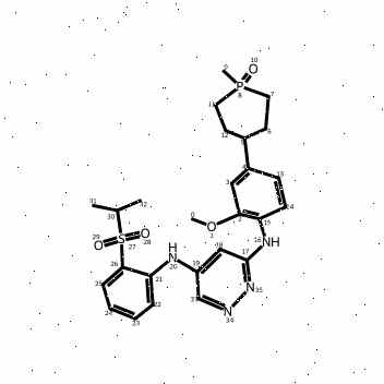 COc1cc(C2CCP(C)(=O)CC2)ccc1Nc1cc(Nc2ccccc2S(=O)(=O)C(C)C)cnn1